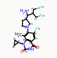 Cc1c(N2CCC(C(N)C(CF)CF)C2)c(F)cc2c(=O)[nH]c(=O)n(C3CC3)c12